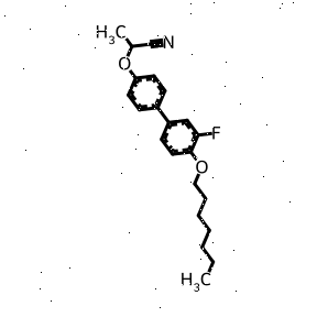 CCCCCCCOc1ccc(-c2ccc(OC(C)C#N)cc2)cc1F